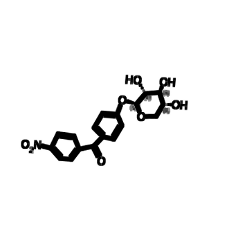 O=C(c1ccc(O[C@@H]2OC[C@@H](O)[C@H](O)[C@H]2O)cc1)c1ccc([N+](=O)[O-])cc1